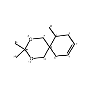 CC1CC=CCC12COC(C)(C)OC2